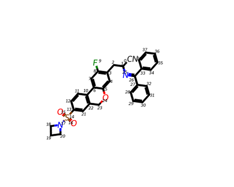 N#CC(Cc1cc2c(cc1F)-c1ccc(S(=O)(=O)N3CCC3)cc1CO2)N=C(c1ccccc1)c1ccccc1